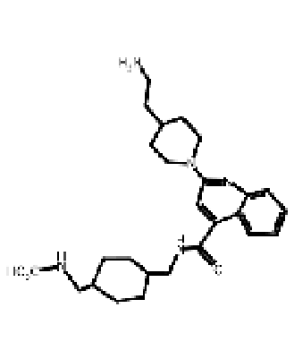 NCCC1CCN(c2cc(C(=O)NCC3CCC(CNC(=O)O)CC3)c3ccccc3n2)CC1